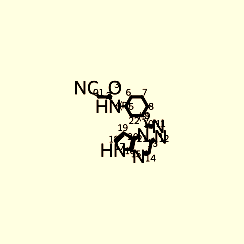 N#CCC(=O)N[C@@H]1CCC[C@H](c2nnc3cnc4[nH]ccc4n23)C1